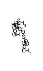 Cc1ccc(S(=O)(=O)OCCOCCOc2ccc([C@H]3C[C@]4(C)C(=O)CC[C@H]4[C@@H]4CCc5cc(O)ccc5[C@H]43)cc2)cc1